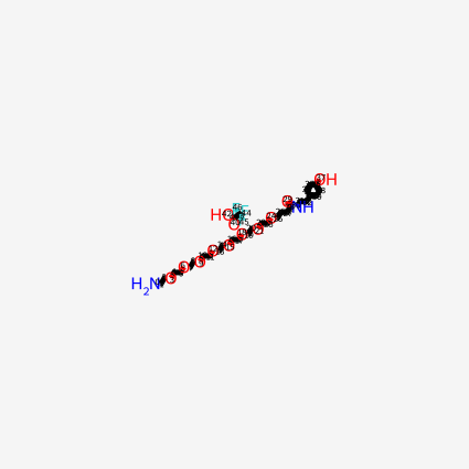 NCCOCCOCCOCCOCCOCCOCCOCCOCCCC(=O)NCCc1ccc(O)cc1.O=C(O)C(F)(F)F